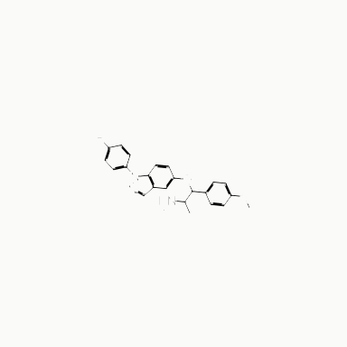 CSc1ccc(C(Oc2ccc3c(cnn3-c3ccc(F)cc3)c2)C(C)N)cc1